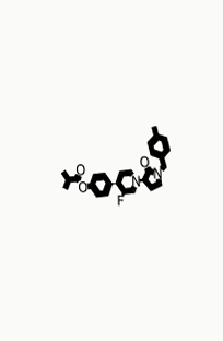 Cc1ccc(CN2CC[C@@H](N3CC[C@@H](c4ccc(OC(=O)C(C)C)cc4)[C@H](F)C3)C2=O)cc1